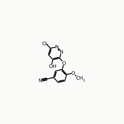 COc1ccc(C#N)cc1Oc1nnc(Cl)cc1O